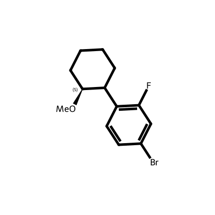 CO[C@H]1CCCCC1c1ccc(Br)cc1F